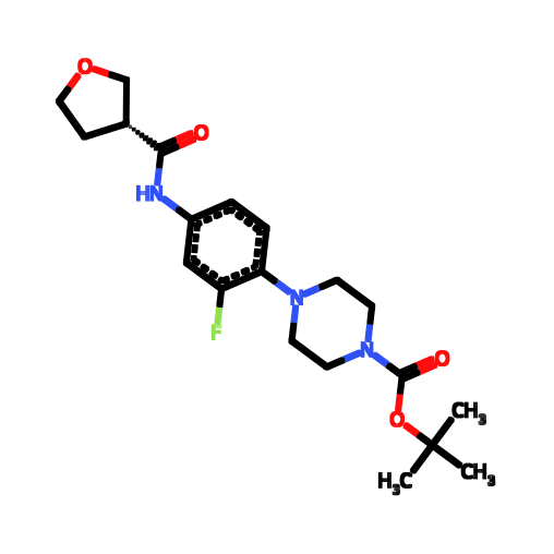 CC(C)(C)OC(=O)N1CCN(c2ccc(NC(=O)[C@@H]3CCOC3)cc2F)CC1